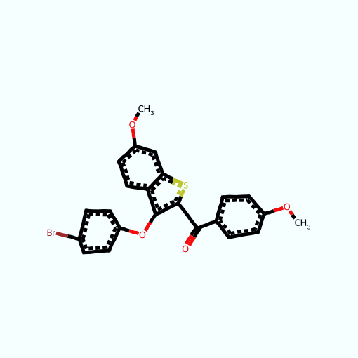 COc1ccc(C(=O)c2sc3cc(OC)ccc3c2Oc2ccc(Br)cc2)cc1